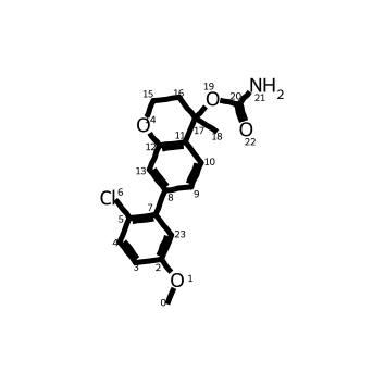 COc1ccc(Cl)c(-c2ccc3c(c2)OCCC3(C)OC(N)=O)c1